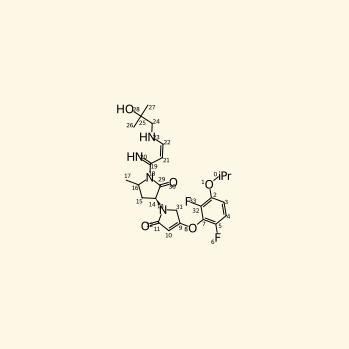 CC(C)Oc1ccc(F)c(OC2=CC(=O)N([C@H]3CC(C)N(C(=N)/C=C\NCC(C)(C)O)C3=O)C2)c1F